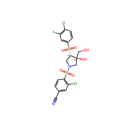 N#Cc1ccc(S(=O)(=O)N2C[C@H](S(=O)(=O)c3ccc(Cl)c(F)c3)[C@](O)(CO)C2)c(Cl)c1